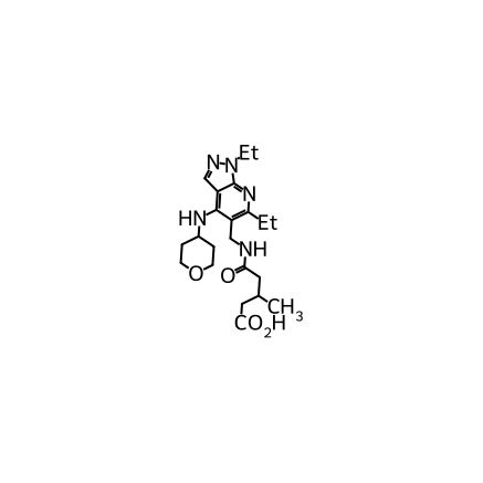 CCc1nc2c(cnn2CC)c(NC2CCOCC2)c1CNC(=O)CC(C)CC(=O)O